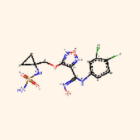 NS(=O)(=O)NC1(COc2nonc2/C(=N/O)Nc2ccc(F)c(Br)c2)CC1